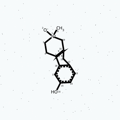 C[N+]1([O-])CCC23CCCCC2(Cc2ccc(O)cc23)C1